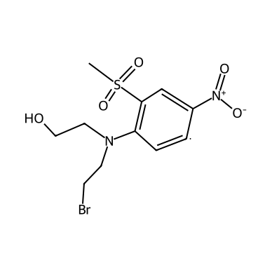 CS(=O)(=O)c1cc([N+](=O)[O-])[c]cc1N(CCO)CCBr